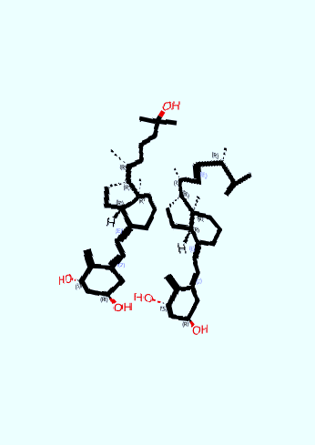 C=C1/C(=C\C=C2/CCC[C@]3(C)[C@@H]([C@H](C)/C=C/[C@H](C)C(C)C)CC[C@@H]23)C[C@@H](O)C[C@@H]1O.C=C1/C(=C\C=C2/CCC[C@]3(C)[C@@H]([C@H](C)CCCC(C)(C)O)CC[C@@H]23)C[C@@H](O)C[C@@H]1O